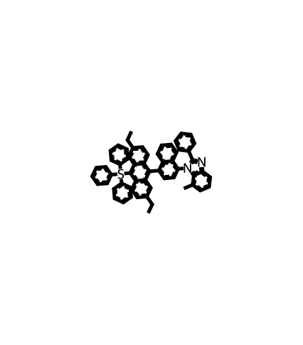 CCc1ccc2c(S(c3ccccc3)(c3ccccc3)c3ccccc3)c3cc(CC)ccc3c(-c3ccc(-n4c(-c5ccccc5)nc5cccc(C)c54)c4ccccc34)c2c1